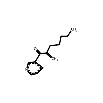 C=C(CCCCC)C(=O)c1cccnc1